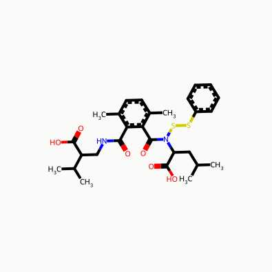 Cc1ccc(C)c(C(=O)N(SSc2ccccc2)C(CC(C)C)C(=O)O)c1C(=O)NCC(C(=O)O)C(C)C